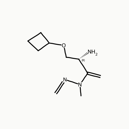 C=NN(C)C(=C)[C@@H](N)COC1CCC1